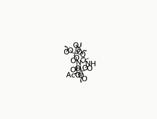 C=CC(=O)OCC(COC(=O)C=C)(COC(=O)C=C)COC(=O)Nc1ccc(C)c(NC(=O)OCC(COC(C)=O)(COC(=O)C=C)COC(=O)C=C)c1